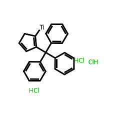 Cl.Cl.Cl.[Ti][C]1=C(C(c2ccccc2)(c2ccccc2)c2ccccc2)C=CC1